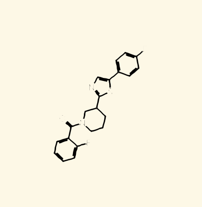 O=C(c1ccccc1F)N1CCCC(c2ncc(-c3ccc(F)cc3)s2)C1